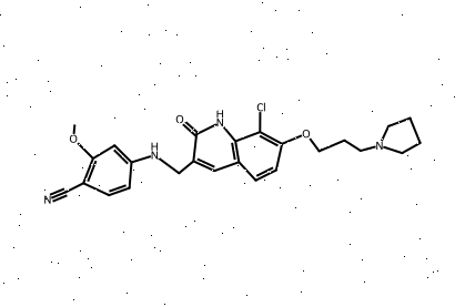 COc1cc(NCc2cc3ccc(OCCCN4CCCC4)c(Cl)c3[nH]c2=O)ccc1C#N